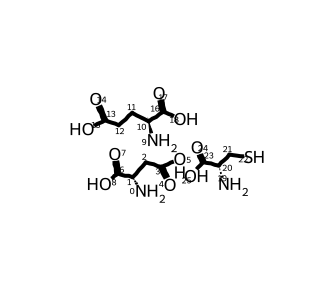 N[C@@H](CC(=O)O)C(=O)O.N[C@@H](CCC(=O)O)C(=O)O.N[C@@H](CS)C(=O)O